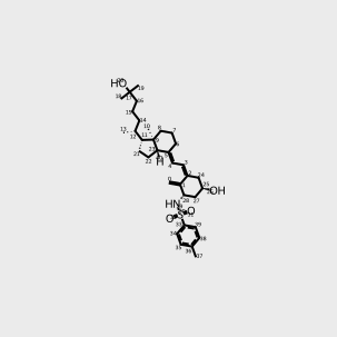 C=C1/C(=C\C=C2/CCC[C@]3(C)[C@@H]([C@H](C)CCCC(C)(C)O)CC[C@@H]23)C[C@@H](O)C[C@@H]1NS(=O)(=O)c1ccc(C)cc1